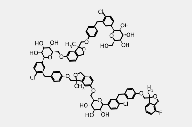 CC1(COc2ccc(Cc3cc([C@@H]4O[C@H](COc5ccc6c(c5)[C@](C)(COc5ccc(Cc7cc([C@@H]8O[C@H](COc9ccc%10c(c9)[C@@](C)(COc9ccc(Cc%11cc([C@@H]%12O[C@H](CO)[C@@H](O)[C@H](O)[C@H]%12O)ccc%11Cl)cc9)OC%10)[C@@H](O)[C@H](O)[C@H]8O)ccc7Cl)cc5)OC6)[C@@H](O)[C@H](O)[C@H]4O)ccc3Cl)cc2)OCc2c(F)cccc21